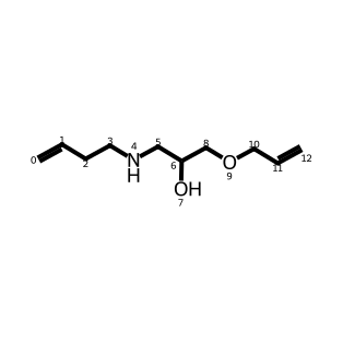 C=CCCNCC(O)COCC=C